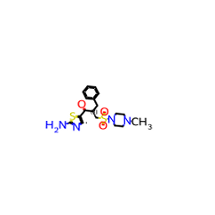 CN1CCN(S(=O)(=O)C[C@H](Cc2ccccc2)C(=O)c2[c]nc(N)s2)CC1